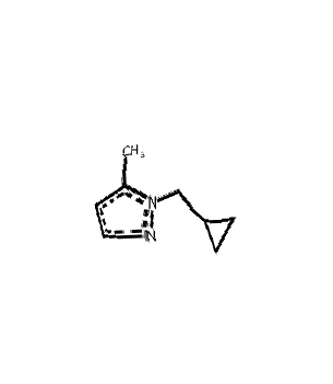 Cc1c[c]nn1CC1CC1